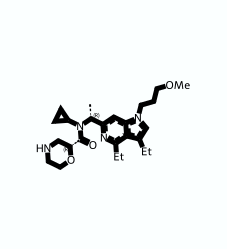 CCc1cn(CCCOC)c2cc([C@@H](C)N(C(=O)[C@H]3CNCCO3)C3CC3)nc(CC)c12